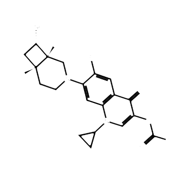 N[C@H]1C[C@H]2CCN(c3cc4c(cc3F)c(=O)c(OC(=O)O)cn4C3CC3)C[C@H]21